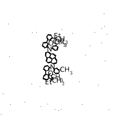 CCC(C)(C)c1cccc2c1oc1c(N(c3cccc(C)c3)c3ccc4ccc5c(N(c6cccc(C)c6)c6cccc7c6oc6c(C(C)(C)CC)cccc67)ccc6ccc3c4c65)cccc12